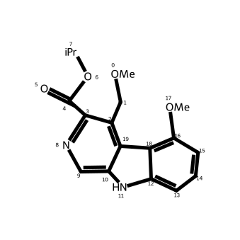 COCc1c(C(=O)OC(C)C)ncc2[nH]c3cccc(OC)c3c12